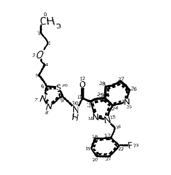 CCCOCCc1nnc(NC(=O)c2nn(Cc3ccccc3F)c3ncccc23)s1